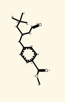 COC(=O)c1ccc(CC(CC=O)CC(C)(C)C)cc1